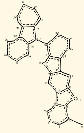 Cc1cccc2c1oc1cc3c(cc12)oc1c(-n2c4ccccc4c4ccccc42)cccc13